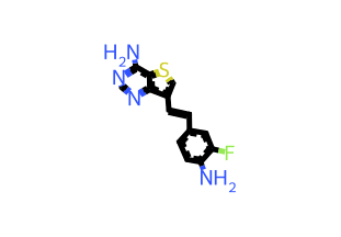 Nc1ccc(C=Cc2csc3c(N)ncnc23)cc1F